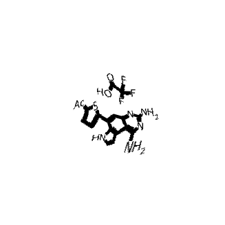 CC(=O)c1ccc(-c2cc3nc(N)nc(N)c3c3cc[nH]c23)s1.O=C(O)C(F)(F)F